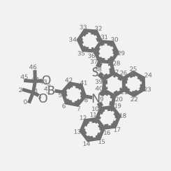 CC1(C)OB(c2ccc(-n3c4c5ccccc5ccc4c4c5ccccc5c5c6ccc7ccccc7c6sc5c43)cc2)OC1(C)C